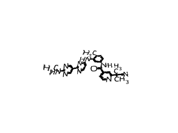 CNc1ncc(-c2nccc(Nc3cc(NC(=O)c4ccnc(C(C)(C)C#N)c4)ccc3C)n2)cn1